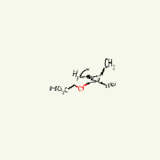 CC(C)(C)[Si](C)(C)OCC(=O)O